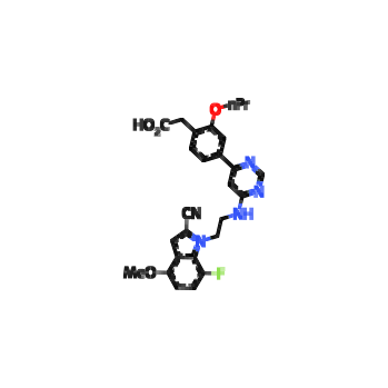 CCCOc1cc(-c2cc(NCCn3c(C#N)cc4c(OC)ccc(F)c43)ncn2)ccc1CC(=O)O